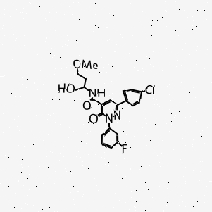 COCCC(CO)NC(=O)c1cc(-c2ccc(Cl)cc2)nn(-c2cccc(F)c2)c1=O